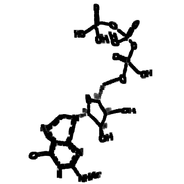 CC(=O)Nc1nc2c(ncn2[C@@H]2O[C@H](COP(=O)(O)OP(=O)(O)OP(=O)(O)O)[C@@H](O)[C@H]2O)c(=O)[nH]1